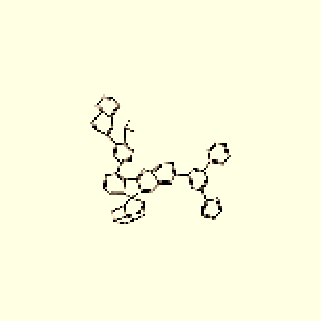 CC1(C)c2ccc(-c3cccc4c3-c3cc5ccc(-c6cc(-c7ccccc7)cc(-c7ccccc7)c6)cc5cc3C43C4CC5CC(C4)CC3C5)cc2-c2ccc3ccccc3c21